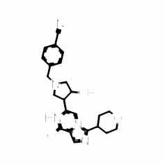 CC1CN(Cc2ccc(C#N)cc2)CC1c1cn2c(C3CCOCC3)ncc2c(=O)[nH]1